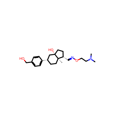 CN(C)CCON=C[C@H]1CC[C@]2(O)C[C@@H](c3ccc(CO)cc3)CC[C@]12C